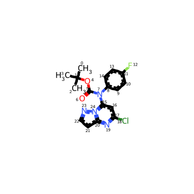 CC(C)(C)OC(=O)N(c1ccc(F)cc1)c1cc(Cl)nc2ccnn12